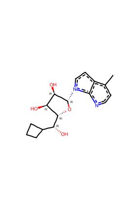 Cc1ccnc2c1ccn2[C@@H]1O[C@H]([C@H](O)C2CCC2)[C@@H](O)[C@H]1O